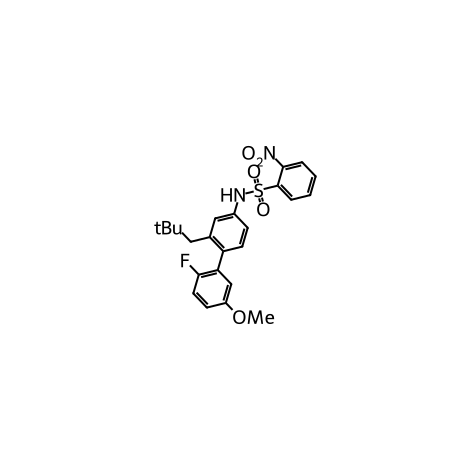 COc1ccc(F)c(-c2ccc(NS(=O)(=O)c3ccccc3[N+](=O)[O-])cc2CC(C)(C)C)c1